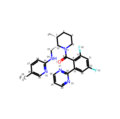 C[C@@H]1CCCN(C(=O)c2c(F)cc(F)cc2-c2ncccn2)[C@@H]1CNc1ccc(C(F)(F)F)cn1